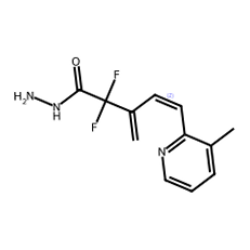 C=C(/C=C\c1ncccc1C)C(F)(F)C(=O)NN